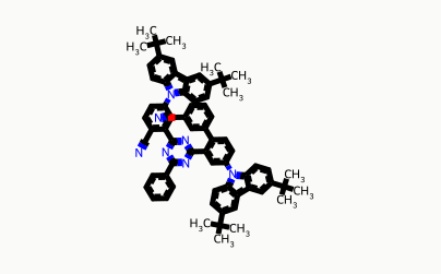 CC(C)(C)c1ccc2c(c1)c1cc(C(C)(C)C)ccc1n2-c1ccc(C#N)c(-c2nc(-c3ccccc3)nc(-c3cc(-n4c5ccc(C(C)(C)C)cc5c5cc(C(C)(C)C)ccc54)ccc3-c3cccc(C#N)c3)n2)c1